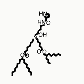 CCCCCCCCC(CCCCCCCC)OC(=O)CCCCCCCN(CCCCCC(=O)OCC(CCCC)CCCCCC)CC(O)CCCCNC(=O)c1cc[nH]c1